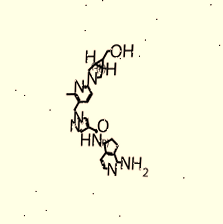 Cc1nc(N2C[C@@H]3C(CO)[C@@H]3C2)ccc1Cn1cc(C(=O)N[C@@H]2CCc3c2ccnc3N)cn1